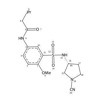 COc1ccc(NC(=O)CC(C)C)cc1S(=O)(=O)N[C@@H]1CCN(C#N)C1